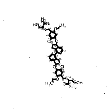 CCOc1cc(O[C@H]2CCc3c(-c4cccc5c4CC[C@@H]5Oc4cc(OCC)c(CN[C@@H](CCO)C(N)=O)cc4Cl)cccc32)c(Cl)cc1CN[C@@H](CO)C(N)=O